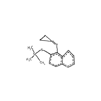 C[Si](C)(C)Sc1ccc2ccccc2c1N=C1CC1